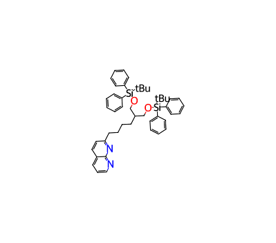 CC(C)(C)[Si](OCC(CCCCc1ccc2cccnc2n1)CO[Si](c1ccccc1)(c1ccccc1)C(C)(C)C)(c1ccccc1)c1ccccc1